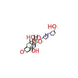 C[C@@H](O)c1cccc(Cn2ccc([C@@H]3O[C@@H]4C[C@H]5[C@@H]6CCC7=CC(=O)C=C[C@]7(C)[C@H]6[C@@H](O)C[C@]5(C)[C@]4(C(=O)CO)O3)c2)c1